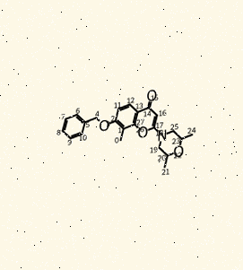 Cc1c(OCc2ccccc2)ccc2c(=O)cc(N3CC(C)OC(C)C3)oc12